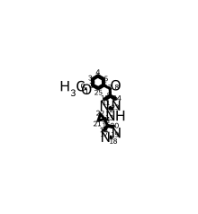 COc1cccc(C(=O)c2cnc(NC3(c4cncnc4)CC3)nc2)c1